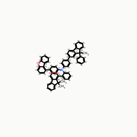 CC1(C)c2ccccc2-c2cccc(-c3ccccc3N(c3ccc(-c4ccc5c(c4)C(C)(c4ccccc4)c4ccccc4-5)cc3)c3ccc(-c4cccc5oc6ccccc6c45)cc3)c21